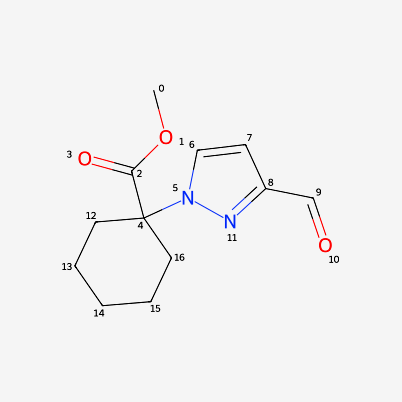 COC(=O)C1(n2ccc(C=O)n2)CCCCC1